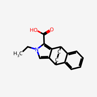 CCn1cc2c(c1C(=O)O)C1CCC2c2ccccc21